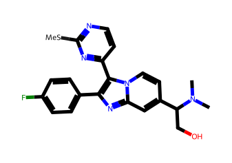 CSc1nccc(-c2c(-c3ccc(F)cc3)nc3cc(C(CO)N(C)C)ccn23)n1